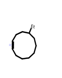 [CH2]CC1CC/C=C\CCCCCC1